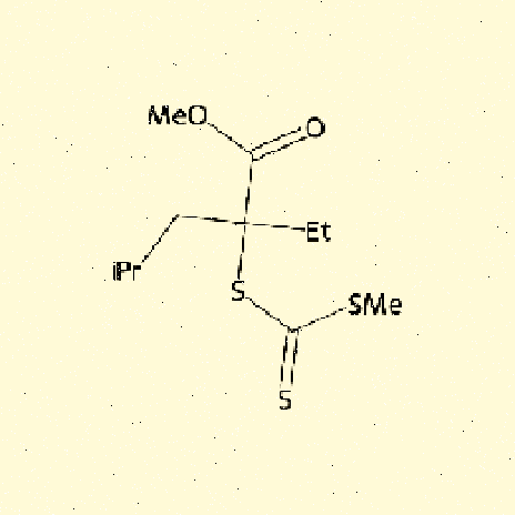 CCC(CC(C)C)(SC(=S)SC)C(=O)OC